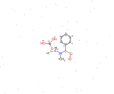 CN(C)C([S+]=O)c1ccccc1.OB(O)OF